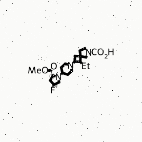 CCC1C(N2CCC(N3C[C@H](F)C[C@@H]3C(=O)OC)CC2)CC12CCN(C(=O)O)C2